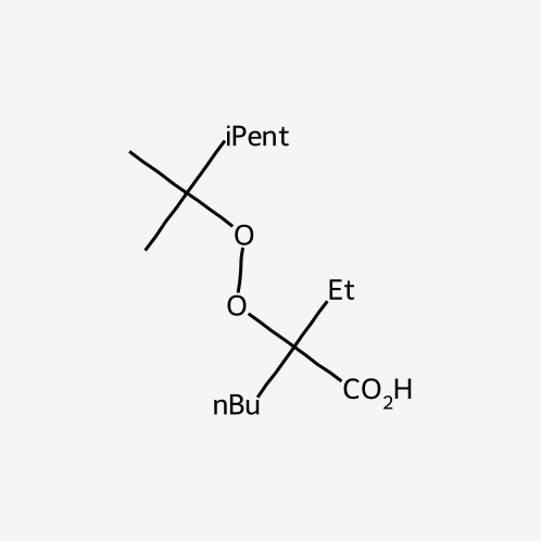 CCCCC(CC)(OOC(C)(C)C(C)CCC)C(=O)O